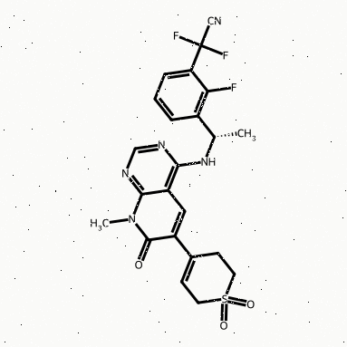 C[C@H](Nc1ncnc2c1cc(C1=CCS(=O)(=O)CC1)c(=O)n2C)c1cccc(C(F)(F)C#N)c1F